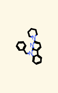 c1ccc(Cn2c3ccccc3c3ccc(N4CCCCC4)nc32)cc1